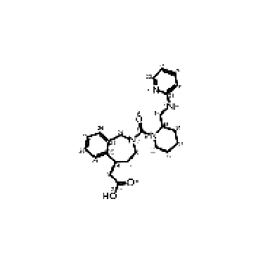 O=C(O)CC1CCN(C(=O)N2CCCCC2CNc2ccccn2)Cc2ccccc21